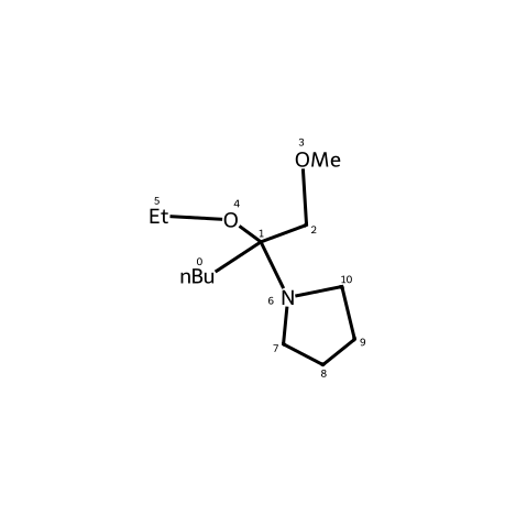 CCCCC(COC)(OCC)N1CCCC1